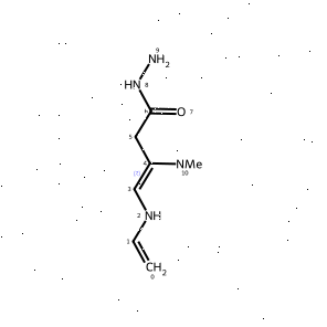 C=CN/C=C(/CC(=O)NN)NC